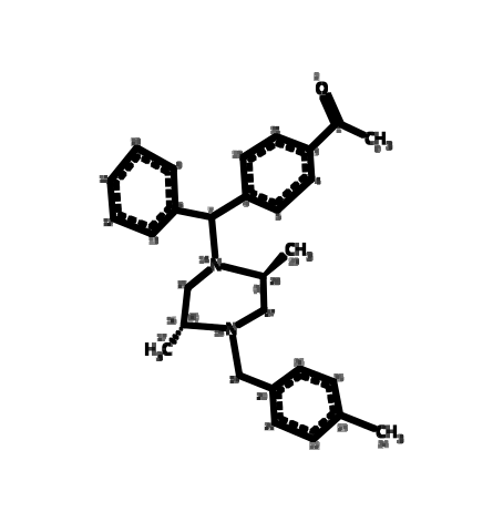 CC(=O)c1ccc(C(c2ccccc2)N2C[C@@H](C)N(Cc3ccc(C)cc3)C[C@@H]2C)cc1